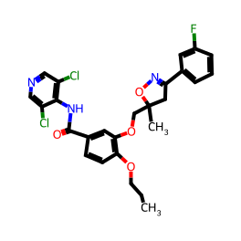 CCCOc1ccc(C(=O)Nc2c(Cl)cncc2Cl)cc1OCC1(C)CC(c2cccc(F)c2)=NO1